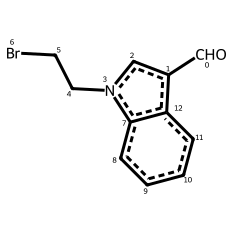 O=Cc1cn(CCBr)c2ccccc12